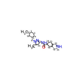 Cc1cccc(Cn2nc(NC(=O)c3ccc4c(c3)CCNC4)cc2C)c1